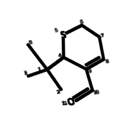 CC(C)(C)C1SCCC=C1C=O